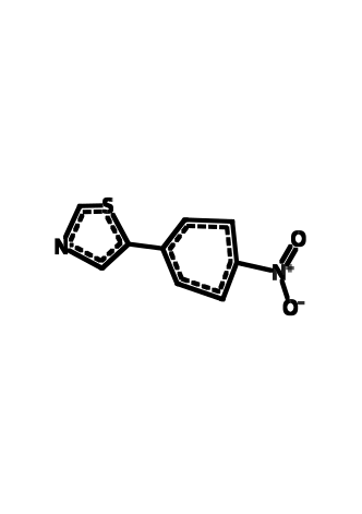 O=[N+]([O-])c1ccc(-c2cncs2)cc1